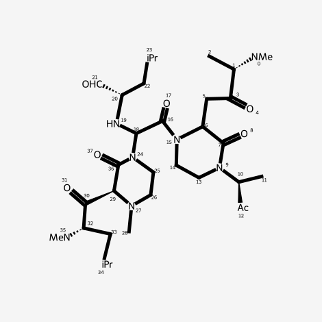 CN[C@@H](C)C(=O)CC1C(=O)N([C@@H](C)C(C)=O)CCN1C(=O)C(N[C@H](C=O)CC(C)C)N1CCN(C)[C@@H](C(=O)[C@H](CC(C)C)NC)C1=O